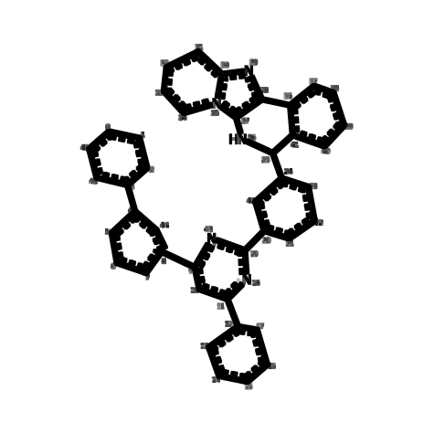 c1ccc(-c2cccc(-c3cc(-c4ccccc4)nc(-c4cccc(C5Nc6c(nc7ccccn67)-c6ccccc65)c4)n3)c2)cc1